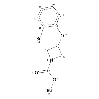 CC(C)(C)OC(=O)N1CC(Oc2ncccc2Br)C1